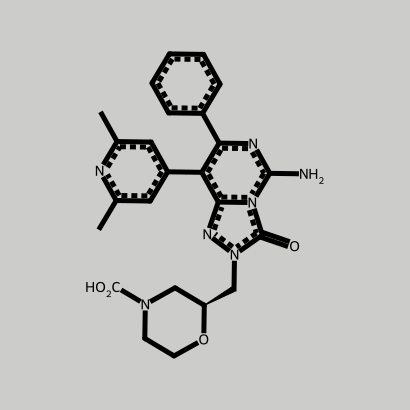 Cc1cc(-c2c(-c3ccccc3)nc(N)n3c(=O)n(C[C@@H]4CN(C(=O)O)CCO4)nc23)cc(C)n1